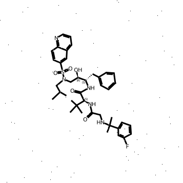 CC(C)CN(C[C@@H](O)[C@H](Cc1ccccc1)NC(=O)[C@@H](NC(=O)CNC(C)(C)c1cccc(F)c1)C(C)(C)C)S(=O)(=O)c1ccc2ncccc2c1